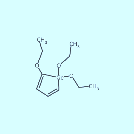 CCO[C]1=CC=[CH][Ge]1([O]CC)[O]CC